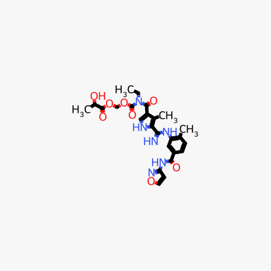 CCN(C(=O)OCOC(=O)C(C)O)C(=O)c1c[nH]c(C(=N)Nc2cc(C(=O)Nc3ccon3)ccc2C)c1C